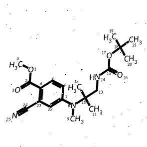 COC(=O)c1ccc(N(C)C(C)(C)CNC(=O)OC(C)(C)C)cc1C#N